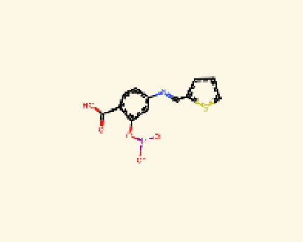 O=C(O)c1ccc(N=Cc2cccs2)cc1O[I+2]([O-])[O-]